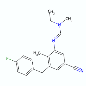 CCN(C)C=Nc1cc(C#N)cc(Cc2ccc(F)cc2)c1C